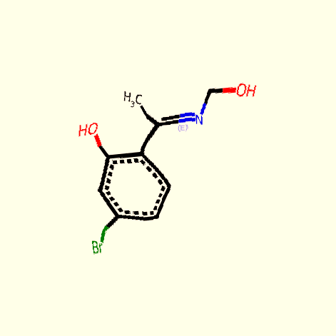 C/C(=N\CO)c1ccc(Br)cc1O